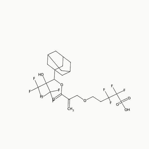 C=C(COCCC(F)(F)C(F)(F)S(=O)(=O)O)C(=O)OC(C12CC3CC(CC(C3)C1)C2)C(O)(C(F)(F)F)C(F)(F)F